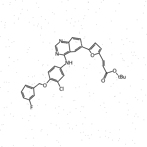 CC(C)(C)OC(=O)C=Cc1ccc(-c2ccc3ncnc(Nc4ccc(OCc5cccc(F)c5)c(Cl)c4)c3c2)o1